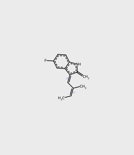 C=c1[nH]c2ccc(F)cc2/c1=C/C(C)=C\C